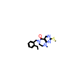 CCc1ccccc1CN1CCN(C)c2nc(SC)ncc2C1=O